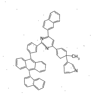 CC1(c2cccnc2)C=CC(c2cc(-c3ccc4ccccc4c3)nc(-c3cccc(-c4c5ccccc5c(-c5cccc6ccccc56)c5ccccc45)c3)n2)=CC1